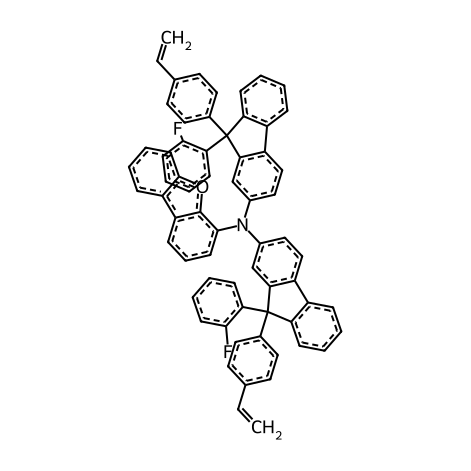 C=Cc1ccc(C2(c3ccccc3F)c3ccccc3-c3ccc(N(c4ccc5c(c4)C(c4ccc(C=C)cc4)(c4ccccc4F)c4ccccc4-5)c4cccc5c4oc4ccccc45)cc32)cc1